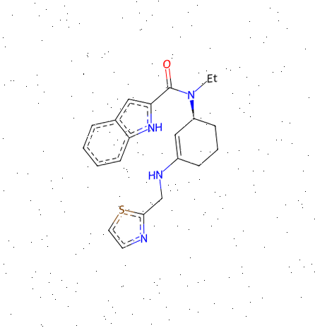 CCN(C(=O)c1cc2ccccc2[nH]1)[C@@H]1C=C(NCc2nccs2)CCC1